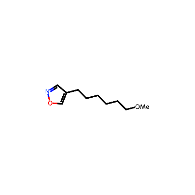 COCCCCCCc1cnoc1